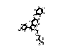 Cn1cc(-c2cn(COCC[Si](C)(C)C)c3ncc(Sc4ccccc4)cc23)cn1